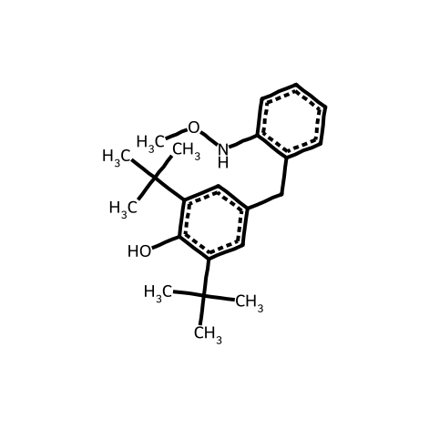 CONc1ccccc1Cc1cc(C(C)(C)C)c(O)c(C(C)(C)C)c1